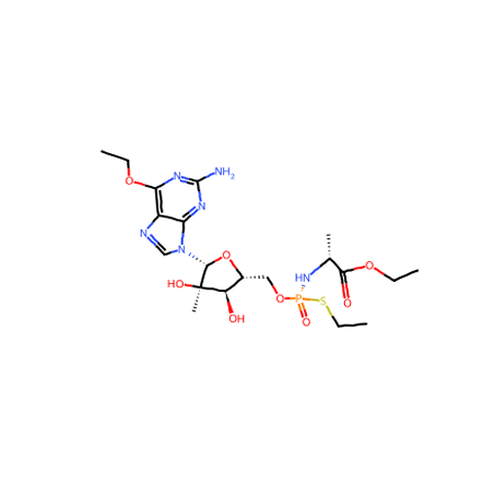 CCOC(=O)[C@@H](C)N[P@](=O)(OC[C@H]1O[C@@H](n2cnc3c(OCC)nc(N)nc32)[C@](C)(O)[C@@H]1O)SCC